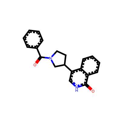 O=C(c1ccccc1)N1CCC(c2c[nH]c(=O)c3ccccc23)C1